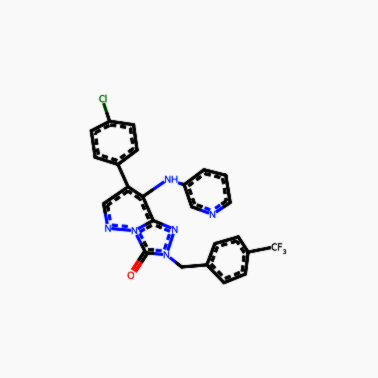 O=c1n(Cc2ccc(C(F)(F)F)cc2)nc2c(Nc3cccnc3)c(-c3ccc(Cl)cc3)cnn12